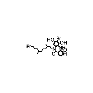 CC(C)CCCC(C)CCCC(C)CCN1C(=O)c2cccc(O)c2Nc2c1cc(O)c(Br)c2O